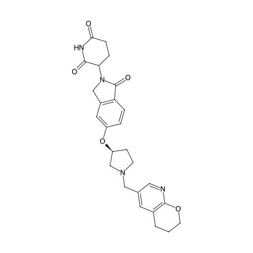 O=C1CCC(N2Cc3cc(O[C@H]4CCN(Cc5cnc6c(c5)CCCO6)C4)ccc3C2=O)C(=O)N1